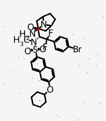 CN([C@H](C(=O)N1C2CCC1CC(N)C2)C(F)(F)c1ccc(Br)cc1)S(=O)(=O)c1ccc2cc(OC3CCCCC3)ccc2c1